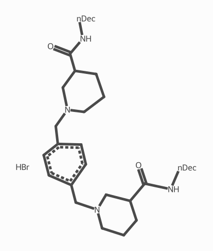 Br.CCCCCCCCCCNC(=O)C1CCCN(Cc2ccc(CN3CCCC(C(=O)NCCCCCCCCCC)C3)cc2)C1